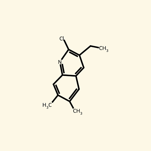 CCc1cc2cc(C)c(C)cc2nc1Cl